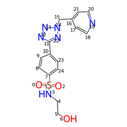 O=S(=O)(NCCO)c1ccc(-c2nnn(Cc3ccncc3)n2)cc1